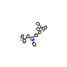 c1ccc(-c2nc(-c3ccc(-c4ccc(-c5nc6ccccc6c6sc(-c7ccccc7)c(-c7ccccc7)c56)cc4)cc3)cc(-c3cccc(-c4cccc5oc6ccccc6c45)c3)n2)cc1